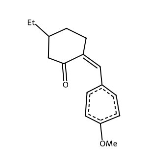 CCC1CCC(=Cc2ccc(OC)cc2)C(=O)C1